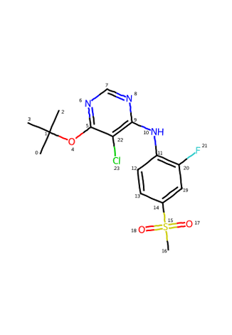 CC(C)(C)Oc1ncnc(Nc2ccc(S(C)(=O)=O)cc2F)c1Cl